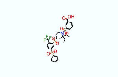 CCC1(CC)CC(S(=O)(=O)c2cc(S(=O)(=O)c3ccccc3)ccc2C(F)(F)F)CCN1S(=O)(=O)c1cccc(C(=O)O)c1